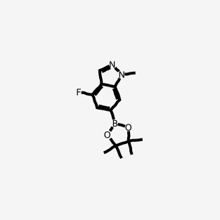 Cn1ncc2c(F)cc(B3OC(C)(C)C(C)(C)O3)cc21